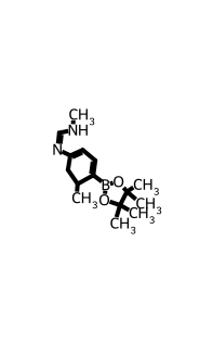 CN/C=N\C1=CC=C(B2OC(C)(C)C(C)(C)O2)C(C)C1